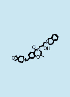 C[C@@H]1CN(C[C@H](O)CN2CCc3ccccc3C2)C(=O)c2ccc(CN3CCC4(CC3)COC4)cc2O1